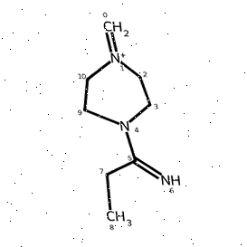 C=[N+]1CCN(C(=N)CC)CC1